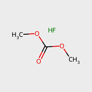 COC(=O)OC.F